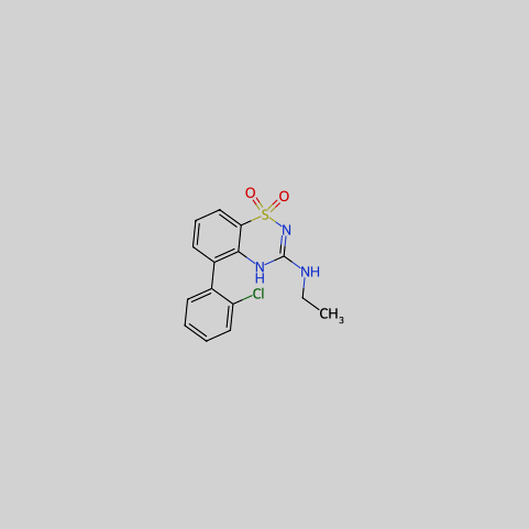 CCNC1=NS(=O)(=O)c2cccc(-c3ccccc3Cl)c2N1